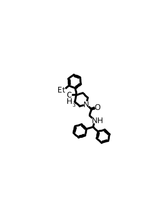 CCc1ccccc1C1(C)CCN(C(=O)CNC(c2ccccc2)c2ccccc2)CC1